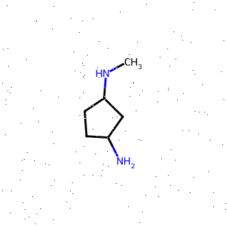 CNC1CCC(N)C1